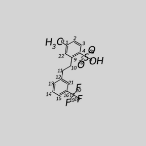 Cc1ccc(S(=O)(=O)O)c(CCc2cccc(C(F)(F)F)c2)c1